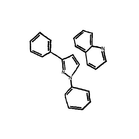 c1ccc(-c2ccn(-c3ccccc3)n2)cc1.c1ccc2ncccc2c1